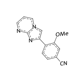 COc1cc(C#N)ccc1-c1cn2cccnc2n1